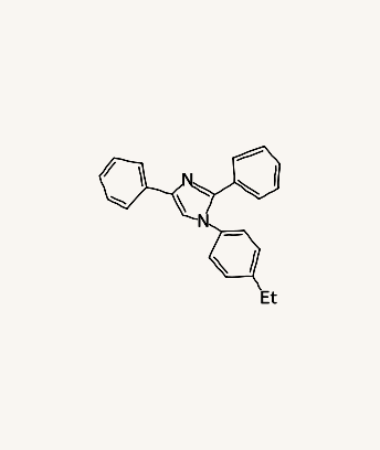 [CH2]Cc1ccc(-n2cc(-c3ccccc3)nc2-c2ccccc2)cc1